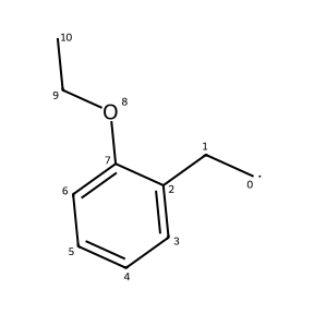 [CH2]Cc1ccccc1OCC